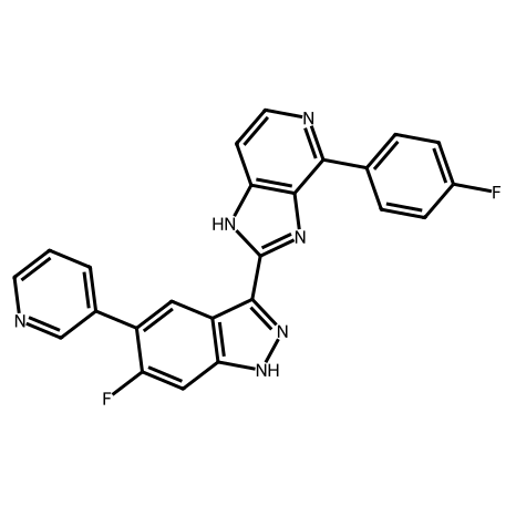 Fc1ccc(-c2nccc3[nH]c(-c4n[nH]c5cc(F)c(-c6cccnc6)cc45)nc23)cc1